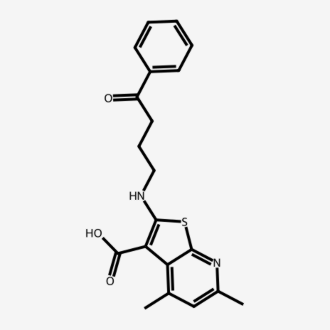 Cc1cc(C)c2c(C(=O)O)c(NCCCC(=O)c3ccccc3)sc2n1